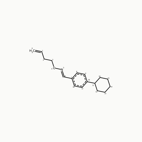 C=CCCON=[C]c1ccc(C2CCCCC2)cc1